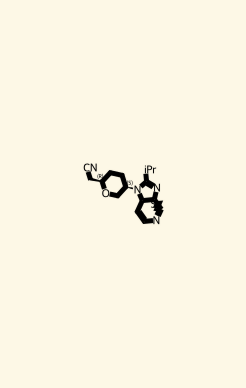 CC(C)C1=NC23SC=CC2=NC=CC3N1[C@H]1CC[C@H](CC#N)OC1